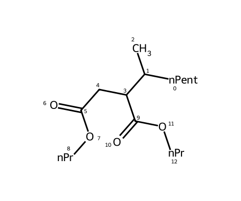 CCCCCC(C)C(CC(=O)OCCC)C(=O)OCCC